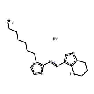 Br.NCCCCCCn1ccnc1/N=N/c1cnn2c1NCCC2